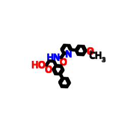 COc1ccc(-c2cccc(C(=O)NC(CC(=O)O)c3ccc(-c4ccccc4)cc3)n2)cc1